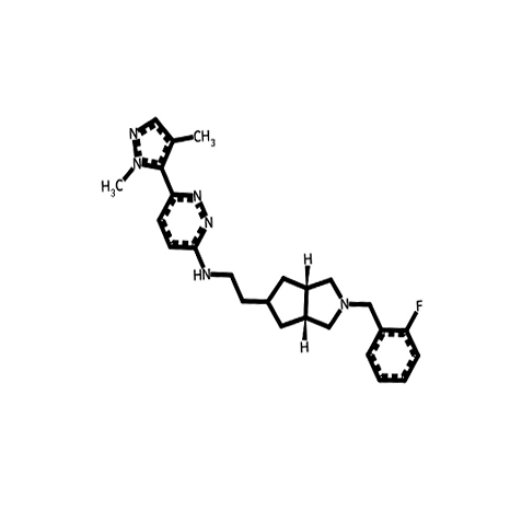 Cc1cnn(C)c1-c1ccc(NCCC2C[C@@H]3CN(Cc4ccccc4F)C[C@@H]3C2)nn1